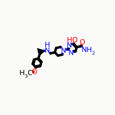 COc1ccc(C2CC2NCC2CCN(c3ncc(C(N)=O)c(O)n3)CC2)cc1